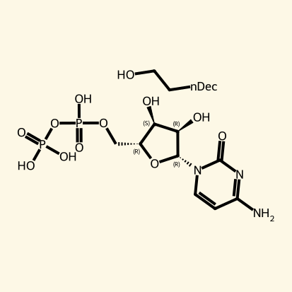 CCCCCCCCCCCCO.Nc1ccn([C@@H]2O[C@H](COP(=O)(O)OP(=O)(O)O)[C@@H](O)[C@H]2O)c(=O)n1